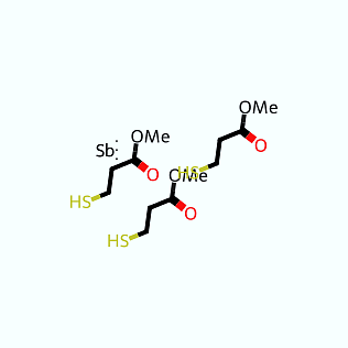 COC(=O)CCS.COC(=O)CCS.COC(=O)CCS.[Sb]